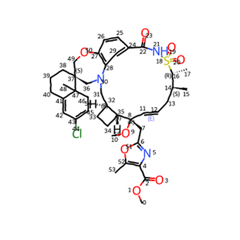 COC(=O)c1nc(C[C@]2(OC)/C=C/C[C@H](C)[C@@H](C)S(=O)(=O)NC(=O)c3ccc4c(c3)N(C[C@@H]3CC[C@H]32)C[C@@]2(CCCC3=CC(Cl)=CCC32C)CO4)oc1C